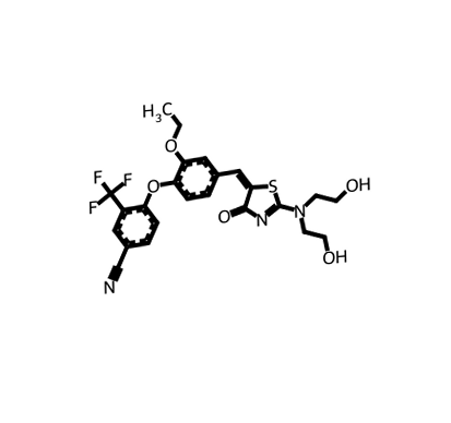 CCOc1cc(/C=C2/SC(N(CCO)CCO)=NC2=O)ccc1Oc1ccc(C#N)cc1C(F)(F)F